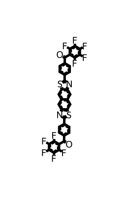 O=C(c1ccc(-c2nc3cc4cc5sc(-c6ccc(C(=O)c7c(F)c(F)c(F)c(F)c7F)cc6)nc5cc4cc3s2)cc1)c1c(F)c(F)c(F)c(F)c1F